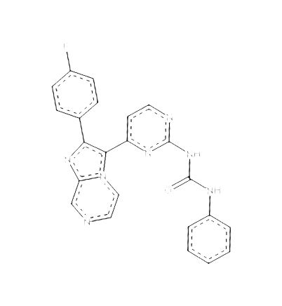 O=C(Nc1ccccc1)Nc1nccc(-c2c(-c3ccc(F)cc3)nc3cnccn23)n1